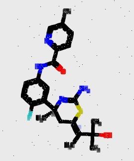 C/C(=C1\C[C@@](C)(c2cc(NC(=O)c3ccc(C#N)cn3)ccc2F)N=C(N)S1)C(C)(C)O